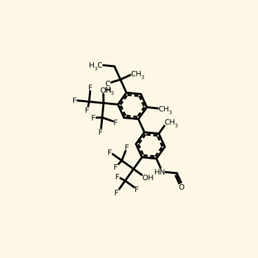 CCC(C)(C)c1cc(C)c(-c2cc(C(O)(C(F)(F)F)C(F)(F)F)c(NC=O)cc2C)cc1C(O)(C(F)(F)F)C(F)(F)F